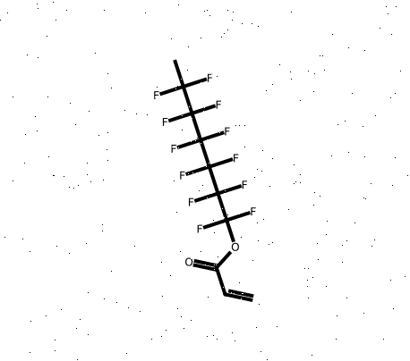 C=CC(=O)OC(F)(F)C(F)(F)C(F)(F)C(F)(F)C(F)(F)C(C)(F)F